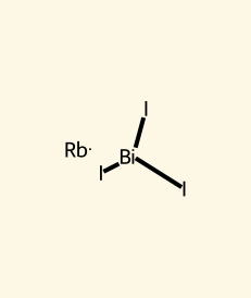 [I][Bi]([I])[I].[Rb]